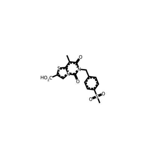 Cc1c(=O)n(Cc2ccc(S(C)(=O)=O)cc2)c(=O)n2cc(C(=O)O)sc12